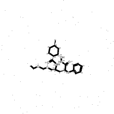 CCOCOC[C@H](C[C@H](Sc1ccccc1)C(=O)NO)NC(=O)[C@H]1CC[C@H](C)CC1